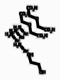 CC(N)=O.CC(N)=O.CC(N)=O.CC(N)=O.O=C(O)COCC(=O)O.O=C(O)COCC(=O)O.OCCO